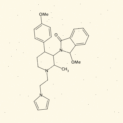 COc1ccc(C2CCN(CCn3cccc3)C(C)C2N2C(=O)c3ccccc3C2OC)cc1